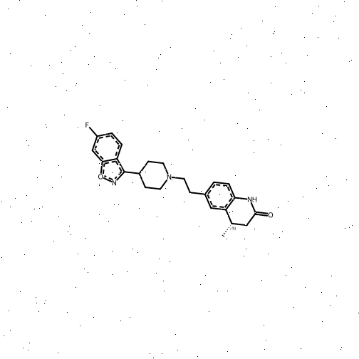 C[C@H]1CC(=O)Nc2ccc(CCN3CCC(c4noc5cc(F)ccc45)CC3)cc21